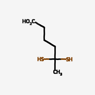 CC(S)(S)CCCC(=O)O